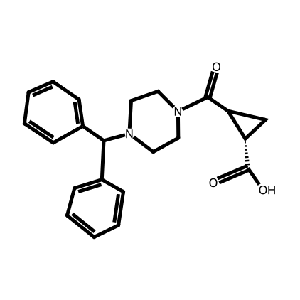 O=C(O)[C@H]1CC1C(=O)N1CCN(C(c2ccccc2)c2ccccc2)CC1